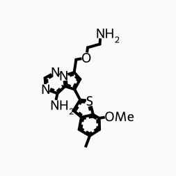 COc1cc(C)cc2cc(-c3cc(COCCN)n4ncnc(N)c34)sc12